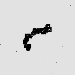 CCN(Cc1ccc(Cl)c(Cl)c1)c1ccc(Oc2ccc(CNCC(=O)N3CCN(Cc4ccc5c(c4)OCO5)CC3)cc2)nc1